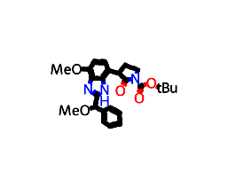 COc1ccc(C2CCN(C(=O)OC(C)(C)C)C2=O)c2[nH]c(C(OC)c3ccccc3)nc12